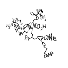 COCCCOc1cc(C[C@H](C[C@H]2[C@H](C[C@H](C(=O)NCC(C)(C)C(N)=O)C(C)C)OC(COC(=O)c3nccn3C)N2C(=O)O)C(C)C)ccc1OC